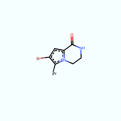 CC(C)c1c(Br)cc2n1CCNC2=O